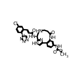 COC(=O)Nc1ccc2c(c1)NC(=O)CCNC[C@H](NC(=O)/C=C/c1cc(Cl)ccc1-n1cnnn1)c1nc-2c[nH]1